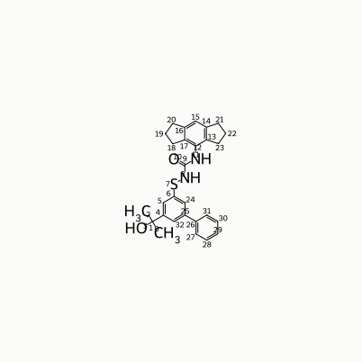 CC(C)(O)c1cc(SNC(=O)Nc2c3c(cc4c2CCC4)CCC3)cc(-c2ccccc2)c1